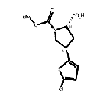 CC(C)(C)OC(=O)N1C[C@H](c2ccc(Cl)s2)C[C@H]1C(=O)O